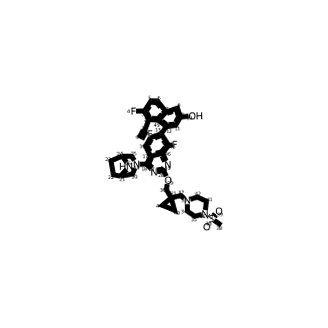 C#Cc1c(F)ccc2cc(O)cc(-c3c(F)cc4c(N5CC6CCC(C5)N6)nc(OCC5(CN6CCN(S(C)(=O)=O)CC6)CC5)nc4c3F)c12